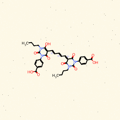 CCCCN1C(=O)\C(=C/C=C/C=C/c2c(O)n(CCCC)c(=O)n(-c3ccc(C(=O)O)cc3)c2=O)C(=O)N(c2ccc(C(=O)O)cc2)C1=O